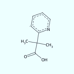 CC(C)(C(=O)O)c1[c]cccn1